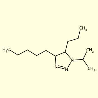 CCCCCC1N=NN(C(C)C)C1CCC